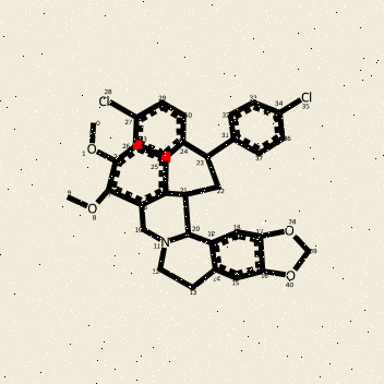 COc1ccc2c(c1OC)CN1CCc3cc4c(cc3C1C2CC(c1ccc(Cl)cc1)c1ccc(Cl)cc1)OCO4